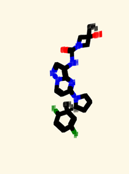 CC1(O)CN(C(=O)Nc2cnn3ccc(N4CCC[C@@H]4C4(C)C=C(F)C=CC4F)nc23)C1